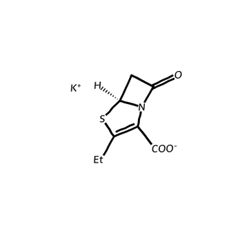 CCC1=C(C(=O)[O-])N2C(=O)C[C@@H]2S1.[K+]